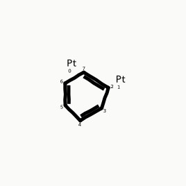 [Pt].[Pt].c1ccccc1